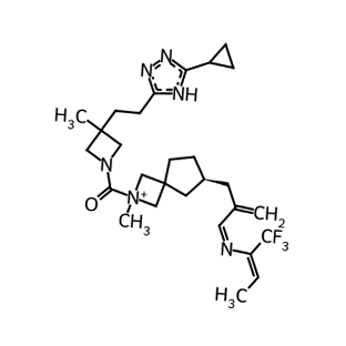 C=C(/C=N\C(=C/C)C(F)(F)F)C[C@@H]1CCC2(C1)C[N+](C)(C(=O)N1CC(C)(CCc3nnc(C4CC4)[nH]3)C1)C2